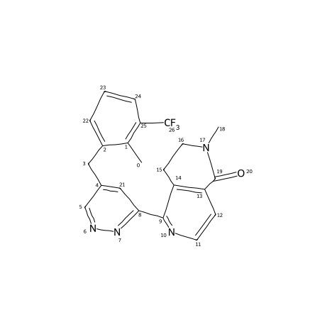 Cc1c(Cc2cnnc(-c3nccc4c3CCN(C)C4=O)c2)cccc1C(F)(F)F